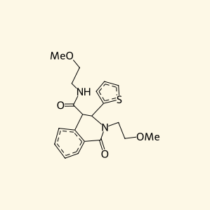 COCCNC(=O)C1c2ccccc2C(=O)N(CCOC)C1c1cccs1